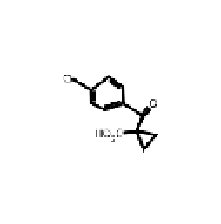 O=C(O)C1(C(=O)c2ccc(Cl)cc2)CC1